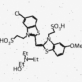 CCN(CC)CC.COc1ccc2c(c1)N(CCS(=O)(=O)O)C(=Cc1sc3ccc(Cl)cc3[n+]1CCS(=O)(=O)O)S2.[OH-]